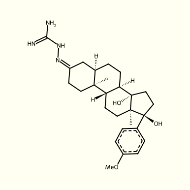 COc1ccc([C@@]2(O)CC[C@]3(O)[C@@H]4CC[C@@H]5CC(=NNC(=N)N)CC[C@]5(C)[C@H]4CC[C@]23C)cc1